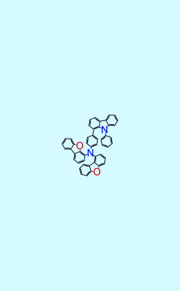 c1ccc(-n2c3ccccc3c3cccc(-c4ccc(N(c5cccc6c5oc5ccccc56)c5cccc6oc7ccccc7c56)cc4)c32)cc1